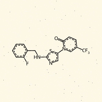 O=c1ccc(C(F)(F)F)cn1-c1cnc(NCc2ccccc2F)s1